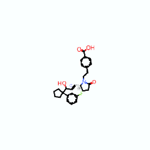 O=C(O)c1ccc(CCN2C(=O)CC[C@@H]2/C=C/C(O)C2(c3cccc(F)c3)CCCC2)cc1